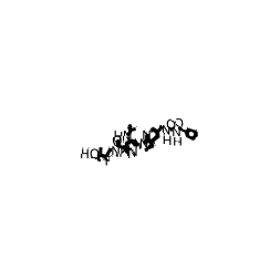 CC(C)Nc1cc(-n2ccc3cc(CNC(=O)NC(=O)c4ccccc4)cnc32)ncc1C(=O)NC[C@@H](F)C(C)(C)O